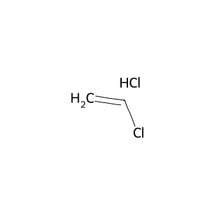 C=CCl.Cl